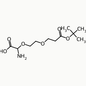 CC(C)(C)OC(=O)CCOCCOC(N)C(=O)O